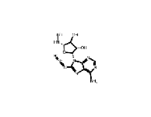 CCCN[C@H]1O[C@@H](n2c(N=[N+]=[N-])nc3c(N)ncnc32)[C@@H](O)C1O